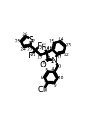 O=C1N(Cc2ccc(Cl)cc2)c2ccccc2C1(F)CC(F)(F)c1cccs1